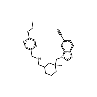 CCOc1cnc(CNCC2CCC[C@](C)(Cn3cnc4ccc(C#N)cc43)C2)cn1